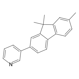 Cc1ccc2c(c1)C(C)(C)c1cc(-c3cccnc3)ccc1-2